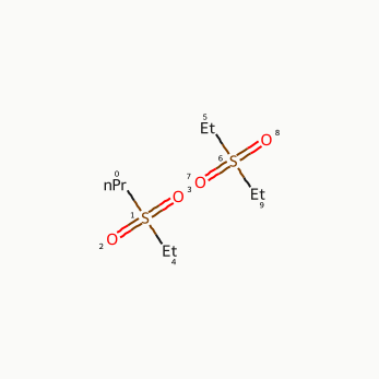 CCCS(=O)(=O)CC.CCS(=O)(=O)CC